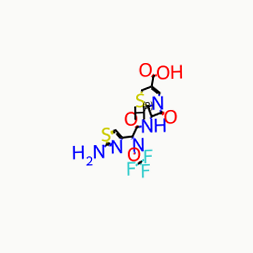 Nc1nc(C(=NOC(F)(F)F)C(=O)NC2C(=O)N3C=C(C(=O)O)CS[C@H]23)cs1